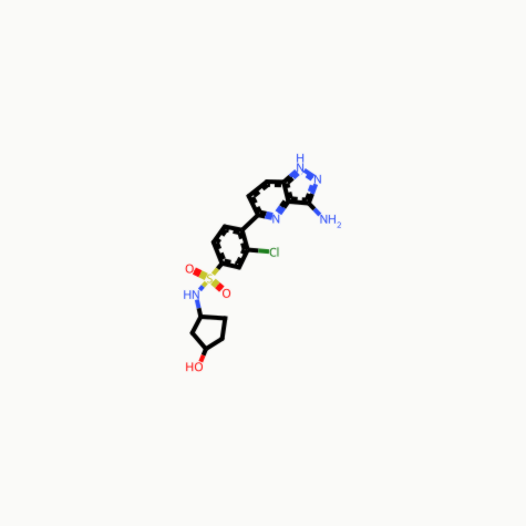 Nc1n[nH]c2ccc(-c3ccc(S(=O)(=O)NC4CCC(O)C4)cc3Cl)nc12